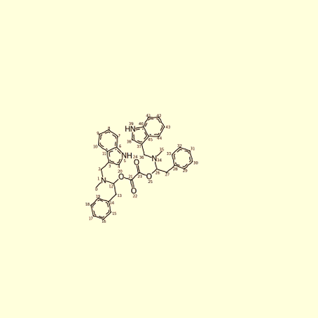 CN(Cc1c[nH]c2ccccc12)C(Cc1ccccc1)OC(=O)C(=O)OC(Cc1ccccc1)N(C)Cc1c[nH]c2ccccc12